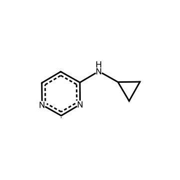 [c]1nccc(NC2CC2)n1